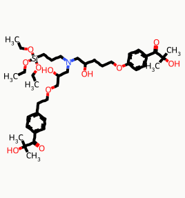 CCO[Si](CCCN(CC(O)CCCOc1ccc(C(=O)C(C)(C)O)cc1)CC(O)COCCc1ccc(C(=O)C(C)(C)O)cc1)(OCC)OCC